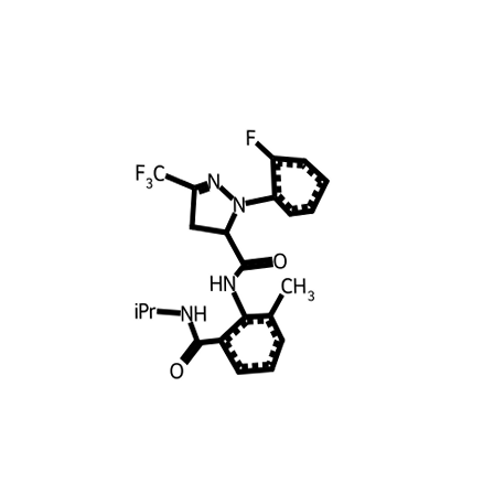 Cc1cccc(C(=O)NC(C)C)c1NC(=O)C1CC(C(F)(F)F)=NN1c1ccccc1F